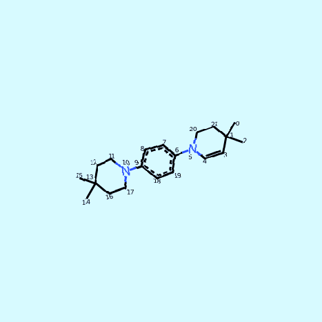 CC1(C)C=CN(c2ccc(N3CCC(C)(C)CC3)cc2)CC1